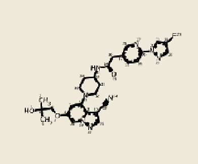 CC(C)(O)COc1cc(N2CCC(NC(=O)Cc3ccc(-n4cc(F)cn4)nc3)CC2)c2c(C#N)cnn2c1